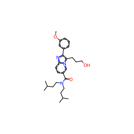 COc1cccc(-c2nc3ccc(C(=O)N(CCC(C)C)CCC(C)C)cn3c2CCCO)c1